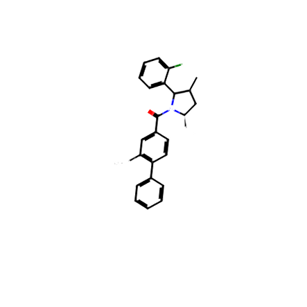 COc1cc(C(=O)N2C(c3ccccc3Cl)C(C)C[C@H]2C(=O)O)ccc1-c1ccccc1